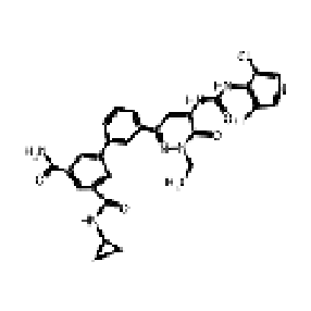 CCn1nc(-c2cccc(-c3cc(C(N)=O)cc(C(=O)NC4CC4)c3)c2)cc(NC(=O)Nc2c(Cl)cncc2Cl)c1=O